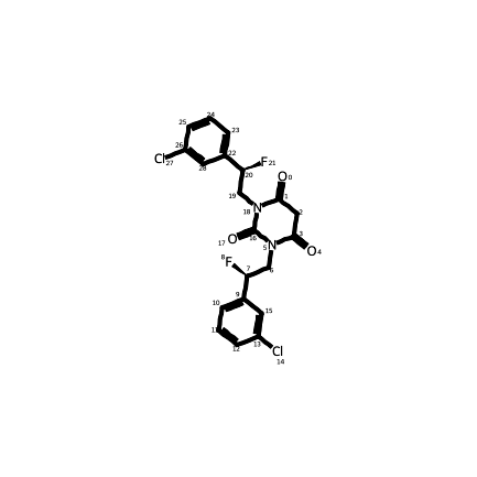 O=C1CC(=O)N(C[C@H](F)c2cccc(Cl)c2)C(=O)N1C[C@H](F)c1cccc(Cl)c1